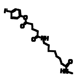 CNC(=O)CCCCCCCNC(=O)CCCC(=O)Oc1ccc(F)cc1